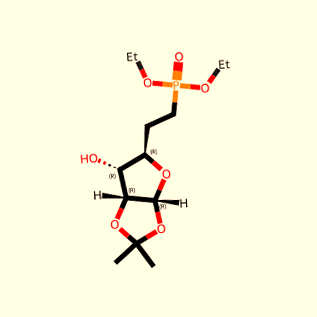 CCOP(=O)(CC[C@H]1O[C@@H]2OC(C)(C)O[C@@H]2[C@@H]1O)OCC